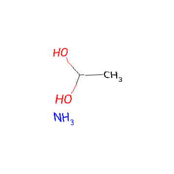 CC(O)O.N